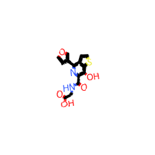 O=C(O)CNC(=O)c1nc(-c2ccoc2)c2ccsc2c1O